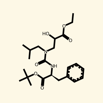 CCOC(=O)C(O)CN(CC(C)C)C(=O)N[C@@H](Cc1ccccc1)C(=O)OC(C)(C)C